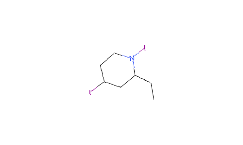 CCC1CC(I)CCN1I